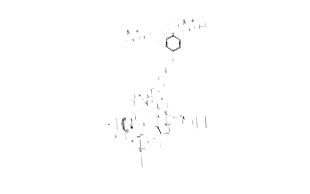 COc1ccc(CCCCOCC(=O)NCCCN(C)C(=O)[C@@H]2C[C@H](SC3=C(C(=O)O)N4C(=O)[C@H]([C@@H](C)O)C4[C@H]3C)CN2)cc1OC